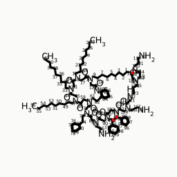 CCCCCCCCCCN(CC(N)=O)C(=O)CN(CCCCCCCCCC)C(=O)CN(CCCCCCCCCC)C(=O)CN(CCCCCCCCCC)C(=O)CN(CCc1ccccc1)C(=O)CN(CCc1ccccc1)C(=O)CN(CCN)C(=O)CN(CCc1ccccc1)C(=O)CN(CCc1ccccc1)C(=O)CN(CCN)C(=O)CNCCCN1CCN(CCCN)CC1